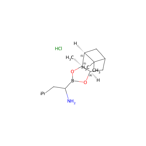 CC(C)CC(N)B1O[C@@H]2CC3C[C@@H](C3(C)C)[C@]2(C)O1.Cl